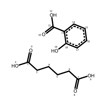 O=C(O)CCCCC(=O)O.O=C(O)c1ccccc1O